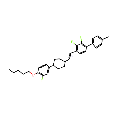 CCCCCOc1ccc(C2CCC(/C=C/c3ccc(-c4ccc(C)cc4)c(F)c3F)CC2)cc1F